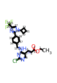 CCOC(=O)/C=C/c1cnc(Cl)nc1NCc1ccc(-c2nc(C(F)(F)F)cn2C2CCC2)cc1